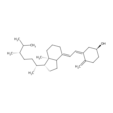 C=C1CC[C@H](O)C/C1=C/C=C1\CCC[C@@]2(C)C1CC[C@@H]2[C@H](C)CC[C@H](C)C(C)C